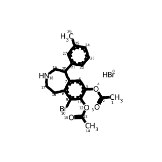 Br.CC(=O)Oc1cc2c(c(Br)c1OC(C)=O)CCNCC2c1cccc(C)c1